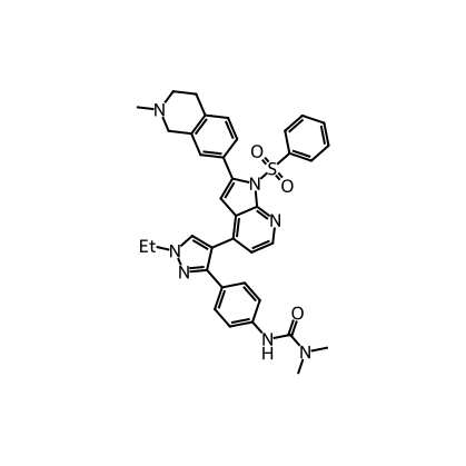 CCn1cc(-c2ccnc3c2cc(-c2ccc4c(c2)CN(C)CC4)n3S(=O)(=O)c2ccccc2)c(-c2ccc(NC(=O)N(C)C)cc2)n1